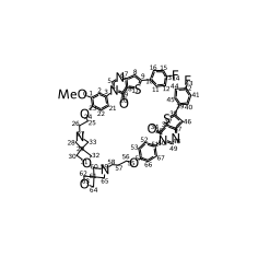 COc1cc(-n2cnc3cc(-c4ccc(F)cc4)sc3c2=O)ccc1OCCN1CC2(COC2)C1.O=c1c2sc(-c3ccc(F)cc3)cc2ncn1-c1ccc(OCCCN2CC3(COC3)C2)cc1